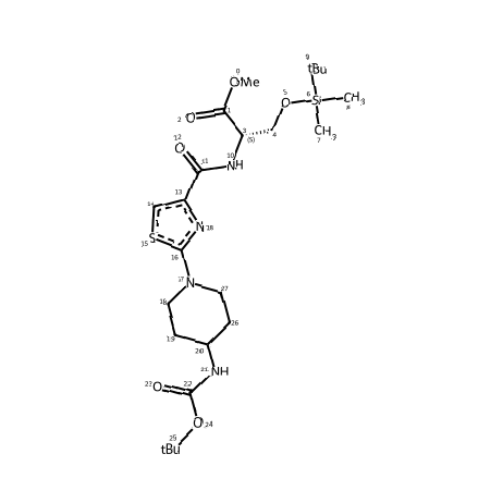 COC(=O)[C@H](CO[Si](C)(C)C(C)(C)C)NC(=O)c1csc(N2CCC(NC(=O)OC(C)(C)C)CC2)n1